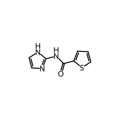 O=C(Nc1ncc[nH]1)c1cccs1